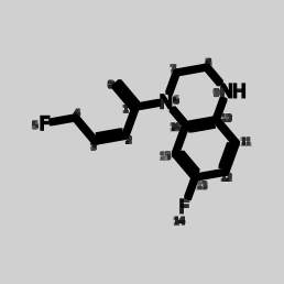 C=C(/C=C\CF)N1CCNc2ccc(F)cc21